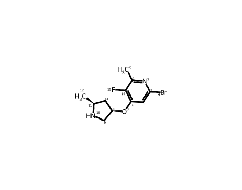 Cc1nc(Br)cc(O[C@H]2CN[C@@H](C)C2)c1F